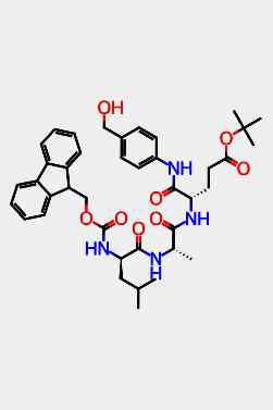 CC(C)C[C@@H](NC(=O)OCC1c2ccccc2-c2ccccc21)C(=O)N[C@@H](C)C(=O)N[C@@H](CCC(=O)OC(C)(C)C)C(=O)Nc1ccc(CO)cc1